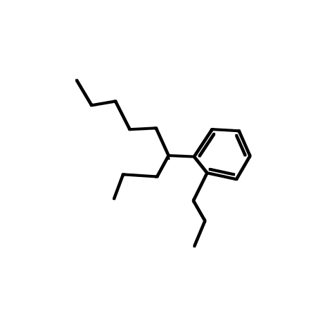 CCCCC[C](CCC)c1ccccc1CCC